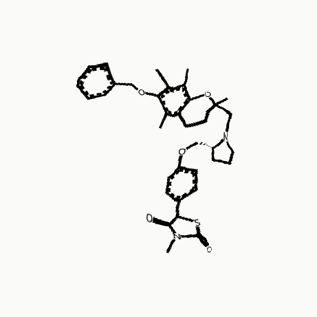 Cc1c(C)c2c(c(C)c1OCc1ccccc1)CCC(C)(CN1CCC[C@@H]1COc1ccc(C3SC(=O)N(C)C3=O)cc1)O2